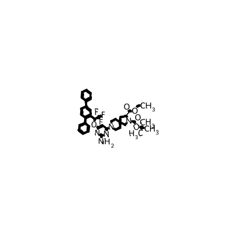 CCOC(=O)[C@@H]1CC2(CCN(c3cc(OC(c4cc(-c5ccccc5)ccc4-c4ccccc4)C(F)(F)F)nc(N)n3)CC2)CN1C(=O)OC(C)(C)C